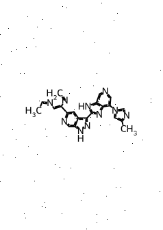 C=N/C(=C\N=C/C)c1cc2c(-c3nc4c(-n5cnc(C)c5)cncc4[nH]3)n[nH]c2cn1